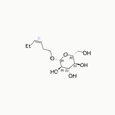 CC/C=C\CCO[C@@H]1O[C@H](CO)[C@@H](O)[C@H](O)[C@H]1O